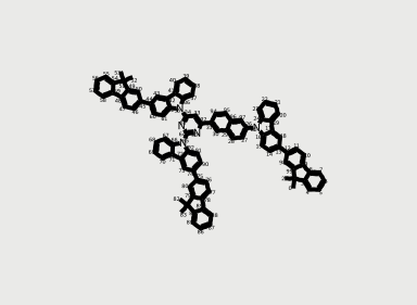 CC1(C)c2ccccc2-c2ccc(-c3ccc4c(c3)c3ccccc3n4-c3ccc4cc(-c5cc(-n6c7ccccc7c7cc(-c8ccc9c(c8)C(C)(C)c8ccccc8-9)ccc76)nc(-n6c7ccccc7c7cc(-c8ccc9c(c8)C(C)(C)c8ccccc8-9)ccc76)n5)ccc4c3)cc21